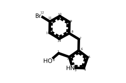 OCc1[nH]ccc1Cc1ccc(Br)cc1